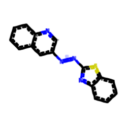 [c]1nc2ccccc2cc1/N=N/c1nc2ccccc2s1